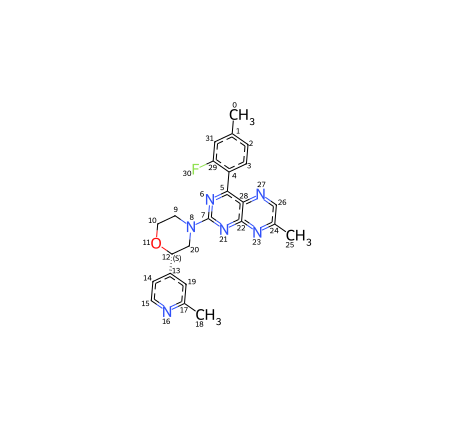 Cc1ccc(-c2nc(N3CCO[C@@H](c4ccnc(C)c4)C3)nc3nc(C)cnc23)c(F)c1